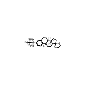 [2H]C([2H])([2H])C([2H])([2H])c1ccc2c(c1)CC[C@@H]1[C@@H]2CC[C@@]2(C)[C@H]1CCC21OCCO1